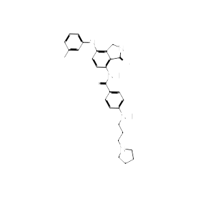 Cc1cccc(Nc2ccc(NC(=O)c3ccc(NCCCN4CCCC4)cc3)c3c2CNC3=O)c1